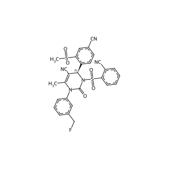 CC1=C(C#N)[C@@H](c2ccc(C#N)cc2S(C)(=O)=O)N(S(=O)(=O)c2ccccc2C#N)C(=O)N1c1cccc(CF)c1